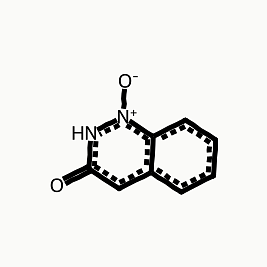 O=c1cc2ccccc2[n+]([O-])[nH]1